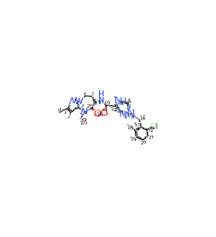 Cc1cc2n(n1)CC[C@H](NC(=O)c1ncn(Cc3ccccc3Cl)n1)C(=O)N2C